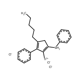 CCCCCC1=C(c2ccccc2)[C]([Ti+3])=C([SiH2]c2ccccc2)C1.[Cl-].[Cl-].[Cl-]